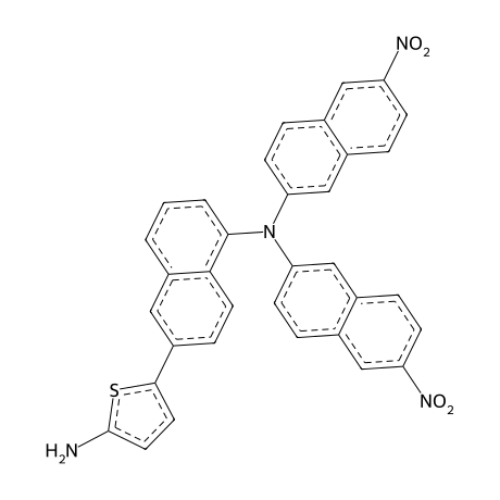 Nc1ccc(-c2ccc3c(N(c4ccc5cc([N+](=O)[O-])ccc5c4)c4ccc5cc([N+](=O)[O-])ccc5c4)cccc3c2)s1